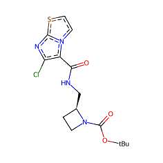 CC(C)(C)OC(=O)N1CC[C@H]1CNC(=O)c1c(Cl)nc2sccn12